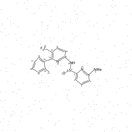 CNc1cccc([S+]([O-])Nc2ccc(C(F)(F)F)c(-c3ccccc3C)n2)n1